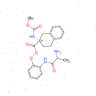 CC(N)C(=O)Nc1ccccc1OOC(=O)[C@]1(NC(=O)OC(C)(C)C)CCc2ccccc2C1